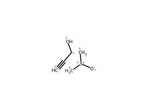 C#CCO.C[S+](C)[O-]